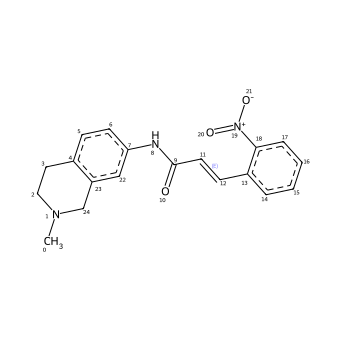 CN1CCc2ccc(NC(=O)/C=C/c3ccccc3[N+](=O)[O-])cc2C1